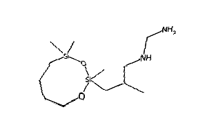 CC(CNCN)C[Si]1(C)OCCCC[Si](C)(C)O1